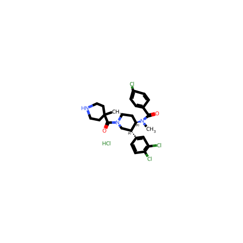 CN(C(=O)c1ccc(Cl)cc1)[C@@H]1CCN(C(=O)C2(C)CCNCC2)C[C@H]1c1ccc(Cl)c(Cl)c1.Cl